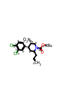 C=CCC1C[C@@H](c2ccc(Cl)c(Cl)c2)[C@H]([N+](=O)[O-])CN1C(=O)OC(C)(C)C